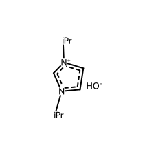 CC(C)n1cc[n+](C(C)C)c1.[OH-]